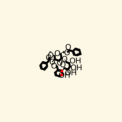 CO[C@H]1O[C@H](COC(=O)c2ccccc2)[C@H](O[C@H]2O[C@H](CO)[C@H](O)[C@H](O)[C@H]2O)[C@H](OC(=O)c2ccccc2)[C@H]1OC(=O)c1ccccc1